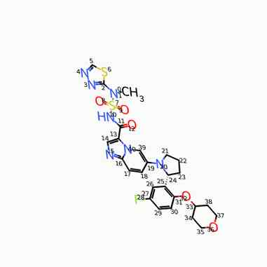 CN(c1nncs1)S(=O)(=O)NC(=O)c1cnc2ccc(N3CCC[C@@H]3c3cc(F)ccc3OC3CCOCC3)cn12